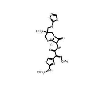 CCOC(=O)Nc1nc(C(=NOC)C(=O)NC2C(=O)N3CC(CSc4nncs4)(C(=O)O)CS[C@H]23)cs1